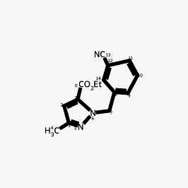 CCOC(=O)c1cc(C)nn1Cc1cccc(C#N)c1